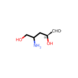 NC(CO)C[C@H](O)[C]=O